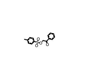 Cc1ccc(S(=O)(=O)OCC(=O)c2ccccc2)cc1